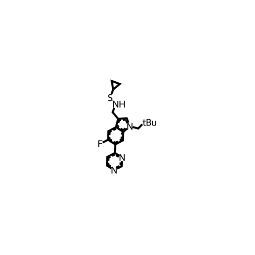 CC(C)(C)Cn1cc(CNSC2CC2)c2cc(F)c(-c3ccncn3)cc21